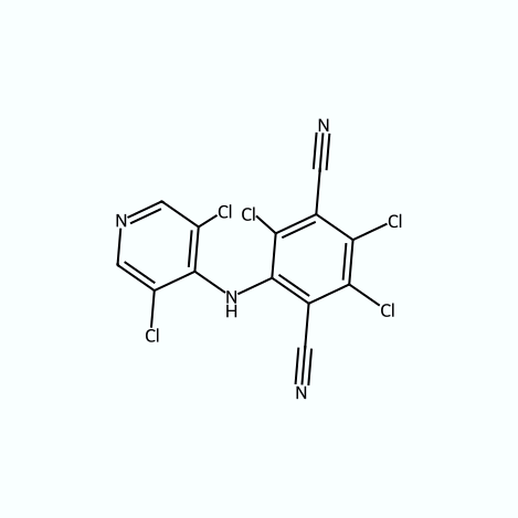 N#Cc1c(Cl)c(Cl)c(C#N)c(Nc2c(Cl)cncc2Cl)c1Cl